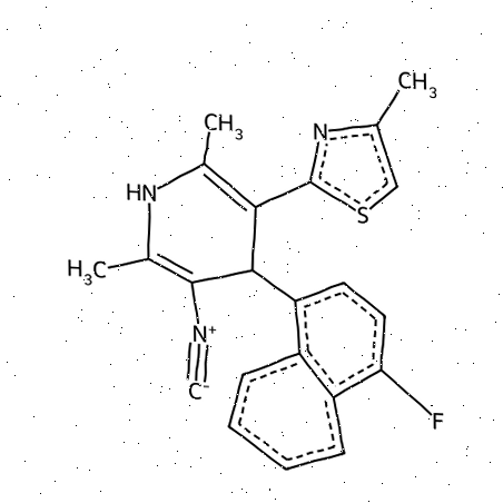 [C-]#[N+]C1=C(C)NC(C)=C(c2nc(C)cs2)C1c1ccc(F)c2ccccc12